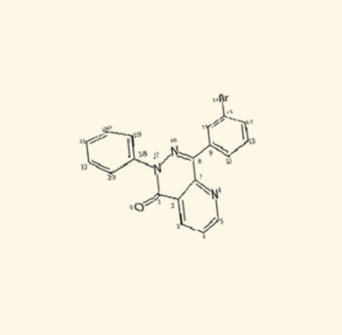 O=c1c2cccnc2c(-c2cccc(Br)c2)nn1-c1ccccc1